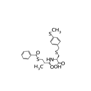 CSc1ccc(CSC[C@H](NC(=O)[C@H](C)CSC(=O)c2ccccc2)C(=O)O)cc1